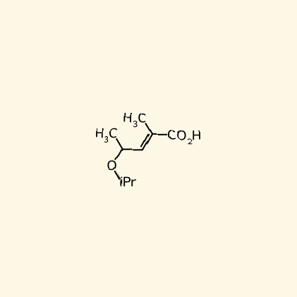 CC(=CC(C)OC(C)C)C(=O)O